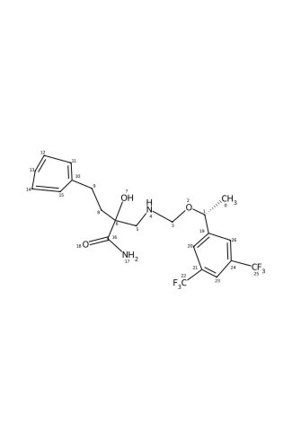 C[C@@H](OCNCC(O)(CCc1ccccc1)C(N)=O)c1cc(C(F)(F)F)cc(C(F)(F)F)c1